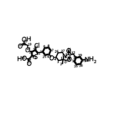 CC1(C)C[C@@H](Oc2cccc(-c3sc(C(=O)O)c(OCC(=O)O)c3Cl)c2)CCN1S(=O)(=O)Cc1cccc(N)c1